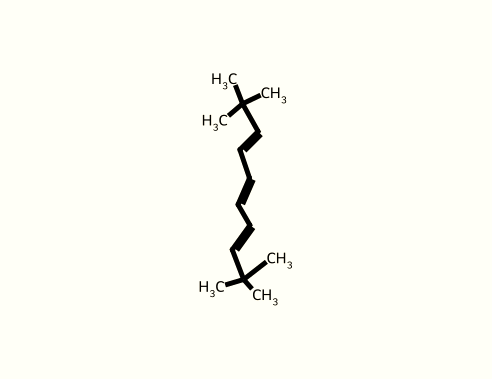 CC(C)(C)C=CC=CC=CC(C)(C)C